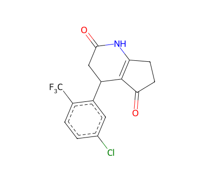 O=C1CC(c2cc(Cl)ccc2C(F)(F)F)C2=C(CCC2=O)N1